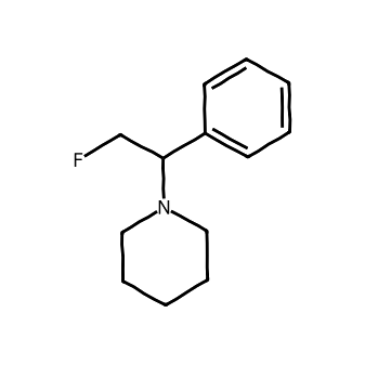 FCC(c1ccccc1)N1CCCCC1